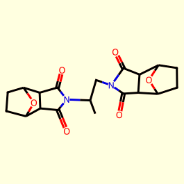 CC(CN1C(=O)C2C3CCC(O3)C2C1=O)N1C(=O)C2C3CCC(O3)C2C1=O